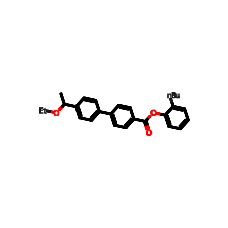 CCCCc1ccccc1OC(=O)c1ccc(-c2ccc(C(C)OCC)cc2)cc1